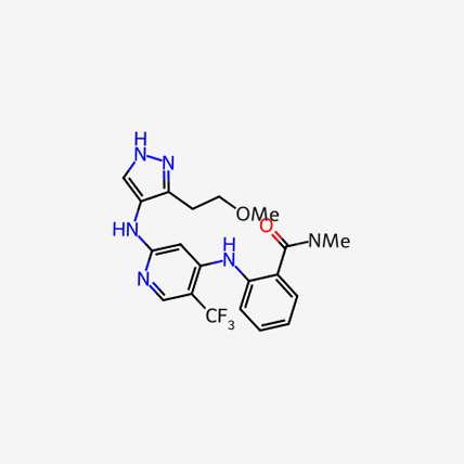 CNC(=O)c1ccccc1Nc1cc(Nc2c[nH]nc2CCOC)ncc1C(F)(F)F